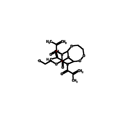 C=C(C)C(=O)N1C(OCC[O])N(C(=O)C(=C)C)C2OOCCOC1N2C(=O)C(=C)C